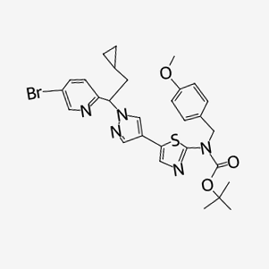 COc1ccc(CN(C(=O)OC(C)(C)C)c2ncc(-c3cnn(C(CC4CC4)c4ccc(Br)cn4)c3)s2)cc1